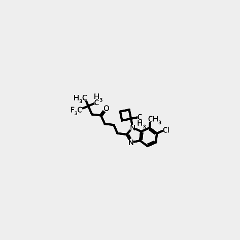 Cc1c(Cl)ccc2nc(CCCC(=O)CC(C)(C)C(F)(F)F)n(C3(C)CCC3)c12